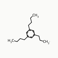 [CH2]CCc1cc(CCCC)cc(CCCC)c1